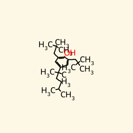 CC(C)CCC(C)(C)c1cc(CC(C)(C)C)c(O)c(CC(C)(C)C)c1